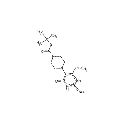 CCc1[nH]c(=N)[nH]c(=O)c1N1CCN(C(=O)OC(C)(C)C)CC1